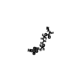 C=C(C#N)C(=O)OC(C)(C)CCCOC(C)(C)CCOP(=O)(O)O